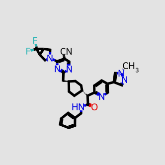 Cn1cc(-c2ccc(C(C(=O)NCc3ccccc3)[C@H]3CC[C@H](Cc4ncc(C#N)c(N5CC6C(C5)C6(F)F)n4)CC3)nc2)cn1